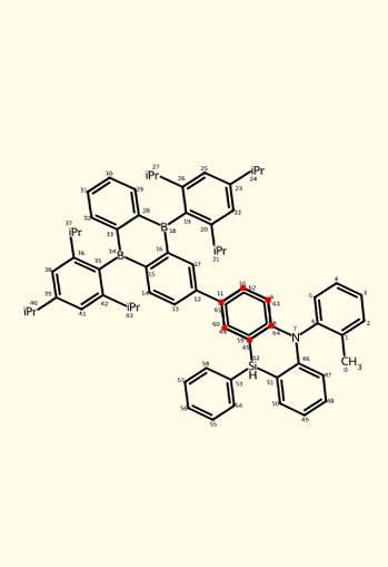 Cc1ccccc1N(c1ccc(-c2ccc3c(c2)B(c2c(C(C)C)cc(C(C)C)cc2C(C)C)c2ccccc2B3c2c(C(C)C)cc(C(C)C)cc2C(C)C)cc1)c1ccccc1[SiH](c1ccccc1)c1ccccc1